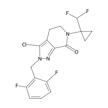 O=C1c2nn(Cc3c(F)cccc3F)c(Cl)c2CCN1C1(C(F)F)CC1